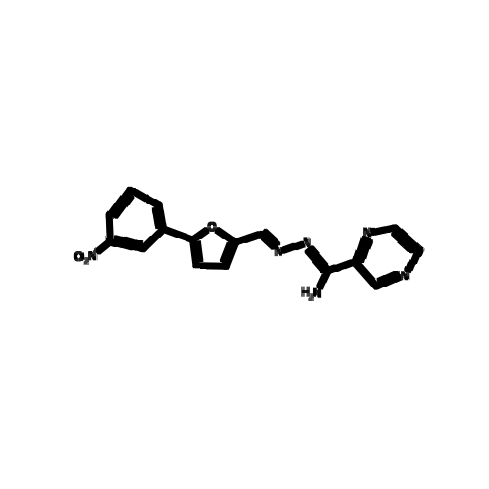 N/C(=N\N=C\c1ccc(-c2cccc([N+](=O)[O-])c2)o1)c1cnccn1